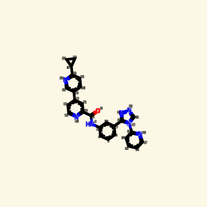 O=C(Nc1cccc(-c2nncn2-c2ccccn2)c1)c1cc(-c2ccc(C3CC3)nc2)ccn1